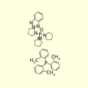 Cc1ccccc1P(c1ccccc1C)c1ccccc1C.c1ccc2c(c1)nnn2O[PH](N1CCCC1)(N1CCCC1)N1CCCC1